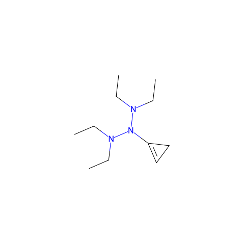 CCN(CC)N(C1=CC1)N(CC)CC